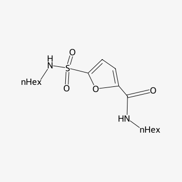 CCCCCCNC(=O)c1ccc(S(=O)(=O)NCCCCCC)o1